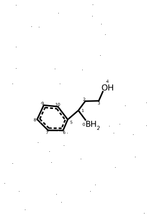 BC(CCO)c1ccccc1